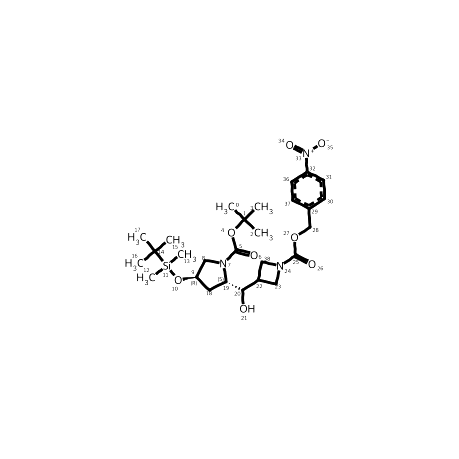 CC(C)(C)OC(=O)N1C[C@H](O[Si](C)(C)C(C)(C)C)C[C@H]1C(O)C1CN(C(=O)OCc2ccc([N+](=O)[O-])cc2)C1